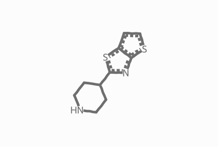 c1cc2sc(C3CCNCC3)nc2s1